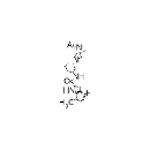 CC(=O)N1CCC12CN([C@H]1CCC[C@@H](NC(=O)c3cc4c(F)ccc(C)c4[nH]3)C1)C2